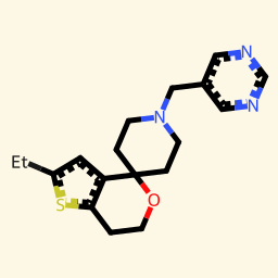 CCc1cc2c(s1)CCOC21CCN(Cc2cncnc2)CC1